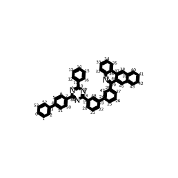 c1ccc(-c2ccc(-c3nc(-c4ccccc4)nc(-c4cccc(-c5cccc(-c6nc7ccccc7c7cc8ccccc8cc67)c5)c4)n3)cc2)cc1